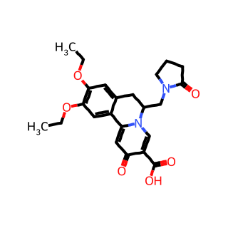 CCOc1cc2c(cc1OCC)-c1cc(=O)c(C(=O)O)cn1C(CN1CCCC1=O)C2